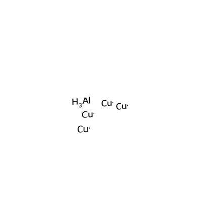 [AlH3].[Cu].[Cu].[Cu].[Cu]